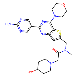 CN(Cc1cc2nc(-c3cnc(N)nc3)nc(N3CCOCC3)c2s1)C(=O)CN1CCC(O)CC1